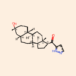 C[C@@]1(O)CC[C@H]2[C@H](CC[C@@H]3[C@@H]2CC[C@]2(C)[C@@H](C(=O)c4ccn[nH]4)CC[C@@H]32)C1